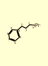 C[C](C)CCCc1ccccc1